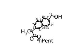 CCCCCOC(=O)C(C)c1ccc2cc(CO)ccc2c1